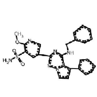 COc1ncc(-c2nc(NCc3ccccc3)c3c(-c4ccccc4)ccn3n2)cc1S(N)(=O)=O